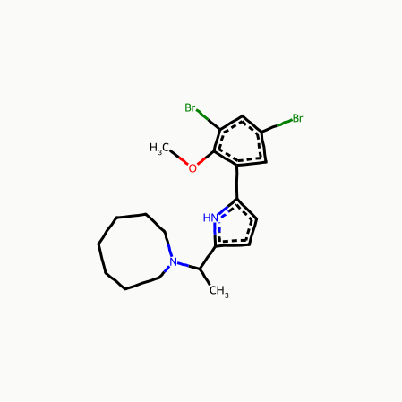 COc1c(Br)cc(Br)cc1-c1ccc(C(C)N2CCCCCCC2)[nH]1